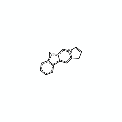 C1=Cn2cc3nc4ccccc4c-3cc2C1